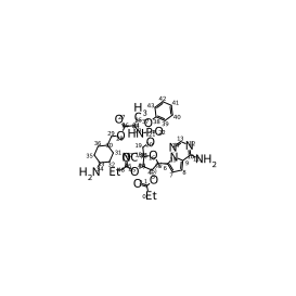 CCC(=O)O[C@H]1[C@H](c2ccc3c(N)ncnn23)O[C@](C#N)(COP(=O)(N[C@@H](C)C(=O)OCC2CCC(N)CC2)Oc2ccccc2)[C@H]1OC(=O)CC